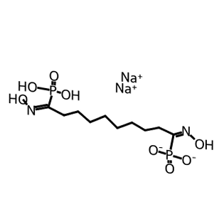 O=P([O-])([O-])C(CCCCCCCCC(=NO)P(=O)(O)O)=NO.[Na+].[Na+]